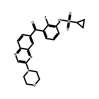 O=C(c1ccc2ncc(N3CCOCC3)nc2c1)c1cccc(NS(=O)(=O)C2CC2)c1F